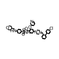 O=C(NS(=O)(=O)c1ccc(NCC2CCOCC2)cc1)c1ccc(N2CCN(Cc3ccccc3-c3ccc(Cl)cc3)CC2)cc1Oc1cccnc1